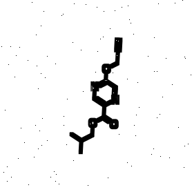 C#CCOc1cnc(C(=O)OCC(C)C)cn1